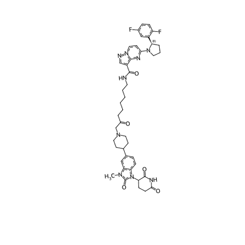 Cn1c(=O)n(C2CCC(=O)NC2=O)c2ccc(C3CCN(CC(=O)CCCCCCNC(=O)c4cnn5ccc(N6CCC[C@@H]6c6cc(F)ccc6F)nc45)CC3)cc21